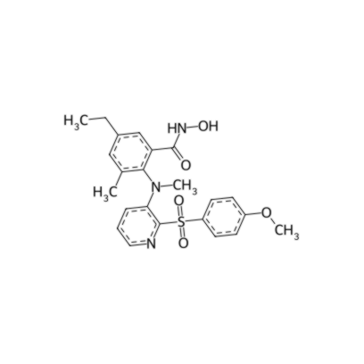 CCc1cc(C)c(N(C)c2cccnc2S(=O)(=O)c2ccc(OC)cc2)c(C(=O)NO)c1